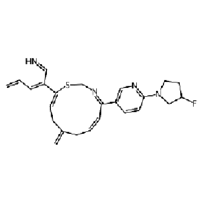 C=C/C=C(C=N)/C1=C/CC(=C)C/C=C\C(c2ccc(N3CCC(F)C3)nc2)=N/CS1